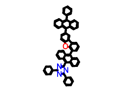 C1=CCCC(c2nc(-c3ccccc3)nc(-c3c4ccccc4c(-c4cccc5c4oc4ccc(-c6c7ccccc7c(-c7ccccc7)c7ccccc67)cc45)c4ccccc34)n2)=C1